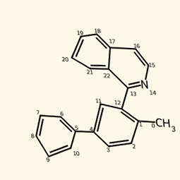 Cc1ccc(-c2ccccc2)cc1-c1nccc2ccccc12